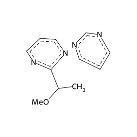 COC(C)c1ncccn1.c1cncnc1